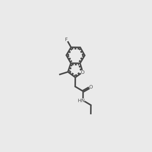 CCNC(=O)Cc1oc2ccc(F)cc2c1C